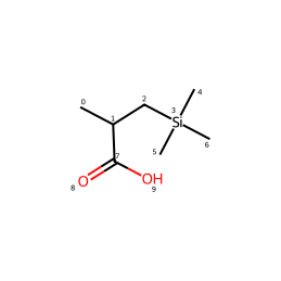 CC(C[Si](C)(C)C)C(=O)O